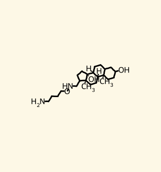 C[C@]12CCC(O)CC1CC[C@@H]1[C@H]2CC[C@]2(C)C(CNOCCCCN)CC[C@@]12O